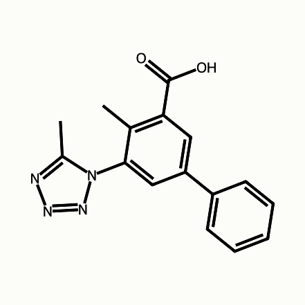 Cc1c(C(=O)O)cc(-c2ccccc2)cc1-n1nnnc1C